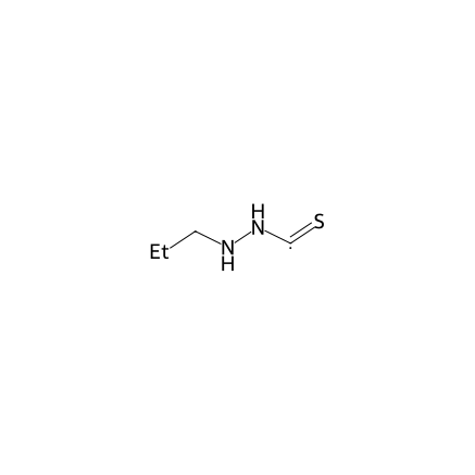 CCCNN[C]=S